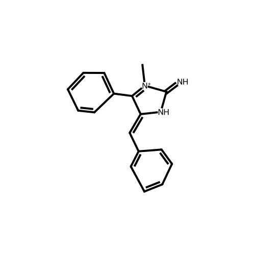 C[N+]1=C(c2ccccc2)C(=Cc2ccccc2)NC1=N